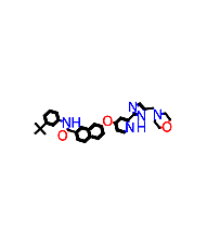 CC(C)(C)c1cccc(NC(=O)c2ccc3ccc(Oc4ccnc(-c5ncc(CN6CCOCC6)[nH]5)c4)cc3c2)c1